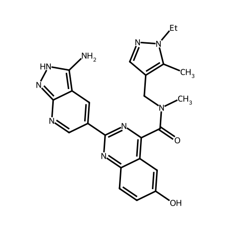 CCn1ncc(CN(C)C(=O)c2nc(-c3cnc4n[nH]c(N)c4c3)nc3ccc(O)cc23)c1C